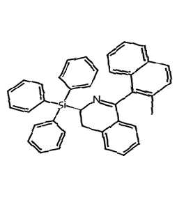 Cc1ccc2ccccc2c1C1=NC([Si](c2ccccc2)(c2ccccc2)c2ccccc2)Cc2ccccc21